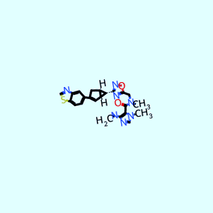 C=Nc1ncn(C)c1C(=O)N(C)Cc1nc([C@@H]2[C@H]3C=C(c4ccc5scnc5c4)C[C@H]32)no1